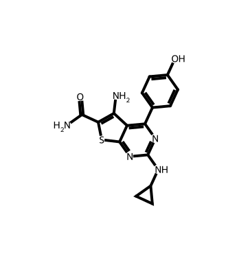 NC(=O)c1sc2nc(NC3CC3)nc(-c3ccc(O)cc3)c2c1N